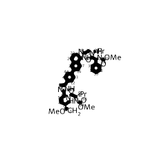 C=C(OC)[C@H]1C#CC(c2ncc(-c3ccc(-c4ccc5c(c4)C=CC4N=C(CN(CCC)C(=O)[C@H](NC(=O)OC)c6ccccc6)NC54)cc3)[nH]2)N(C(=O)[C@@H](NC(=O)OC)C(C)C)C1